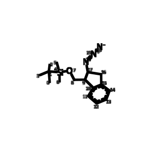 CC(C)(C)[Si](C)(C)OCC1c2ccccc2CC1N=[N+]=[N-]